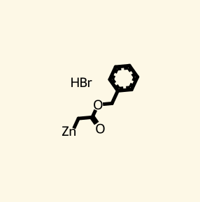 Br.O=C([CH2][Zn])OCc1ccccc1